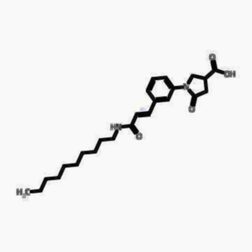 CCCCCCCCCCNC(=O)/C=C/c1cccc(N2CC(C(=O)O)CC2=O)c1